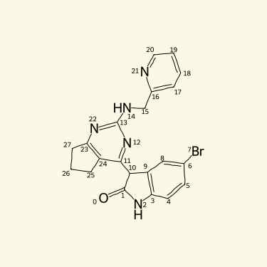 O=C1Nc2ccc(Br)cc2C1c1nc(NCc2ccccn2)nc2c1CCC2